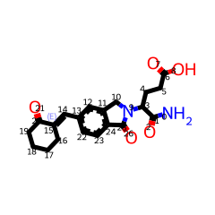 NC(=O)C(CCC(=O)O)N1Cc2cc(/C=C3\CCCCC3=O)ccc2C1=O